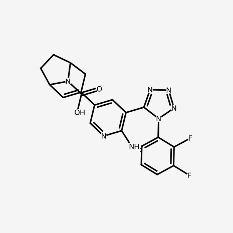 Nc1ncc(C2=CC3CCC(C2)N3C(=O)O)cc1-c1nnnn1-c1cccc(F)c1F